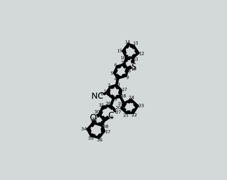 N#Cc1cc(-c2ccc3c(c2)sc2ccccc23)cc(-c2ccccc2)c1-c1ccc2c(c1)oc1ccccc12